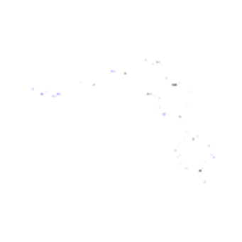 CCN(CCN=[N+]=[N-])c1ccc2ccc(-c3ccc(F)nc3)nc2c1